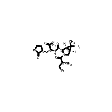 CC(C)C[C@H](N)C(=O)N1C[C@H]2[C@@H]([C@H]1C(=O)N[C@@H](C[C@@H]1CCNC1=O)C(N)=O)C2(C)C